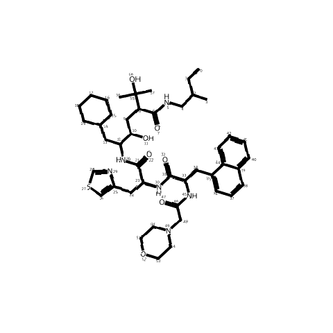 CCC(C)CNC(=O)C(CC(O)C(CC1CCCCC1)NC(=O)C(Cc1cscn1)NC(=O)C(Cc1cccc2ccccc12)NC(=O)CN1CCOCC1)C(C)(C)O